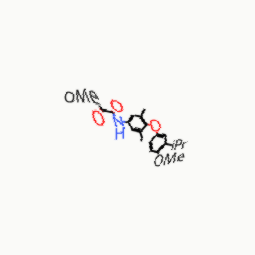 COC(=O)C(=O)Nc1cc(C)c(Oc2ccc(OC)c(C(C)C)c2)c(C)c1